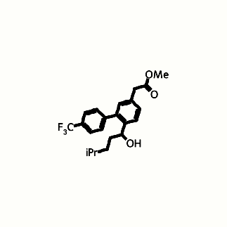 COC(=O)Cc1ccc(C(O)CCC(C)C)c(-c2ccc(C(F)(F)F)cc2)c1